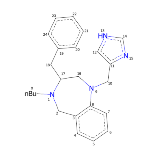 CCCCN1Cc2ccccc2N(Cc2c[nH]cn2)CC1Cc1ccccc1